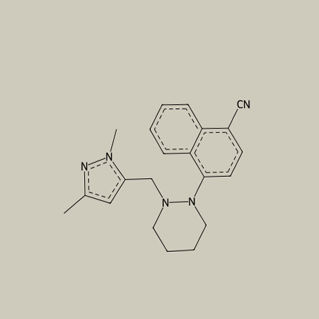 Cc1cc(CN2CCCCN2c2ccc(C#N)c3ccccc23)n(C)n1